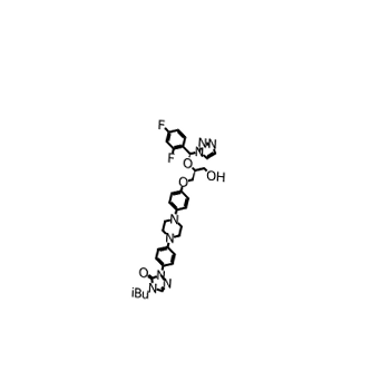 CCC(C)n1cnn(-c2ccc(N3CCN(c4ccc(OC[C@H](CO)O[C@H](c5ccc(F)cc5F)n5ccnn5)cc4)CC3)cc2)c1=O